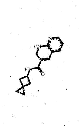 O=C(NC1CC2(CC2)C1)C1=Cc2cccnc2NC1